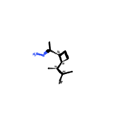 CC(=NN)[C@@H]1C=C[C@@H]1[C@@H](C)[C@@H](C)C(C)C